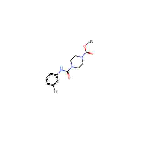 CC(C)(C)OC(=O)N1CCN(C(=O)Nc2cccc(Cl)c2)CC1